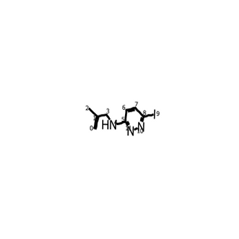 C=C(C)CNc1ccc(I)nn1